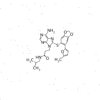 Cc1ccc(-c2cc3c(cc2Sc2nc4c(N)ncnc4n2CCC(=O)NCC(C)C)OCO3)o1